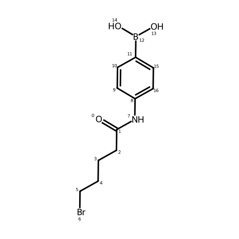 O=C(CCCCBr)Nc1ccc(B(O)O)cc1